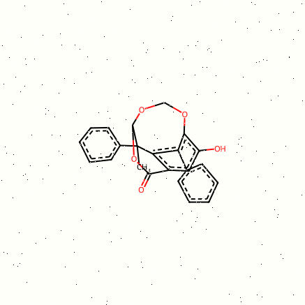 CC1(c2ccccc2)c2c3cc(O)c(c2-c2ccccc2)OCOC1OC3=O